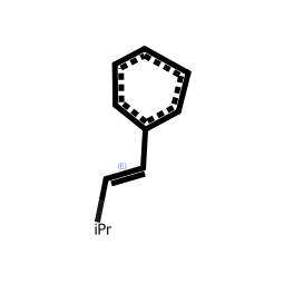 CC(C)/C=C/c1ccccc1